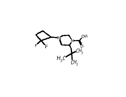 CC(C)(C)C1CN(C2CCC2(F)F)CCN1C(=O)O